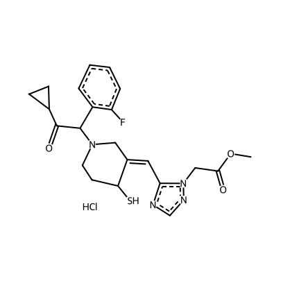 COC(=O)Cn1ncnc1/C=C1/CN(C(C(=O)C2CC2)c2ccccc2F)CCC1S.Cl